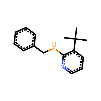 CC(C)(C)c1cccnc1PCc1ccccc1